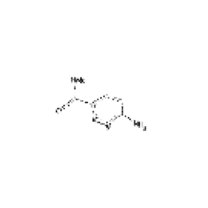 CNC(=O)c1ccc(N)nn1